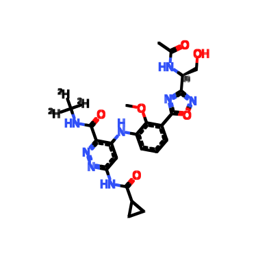 [2H]C([2H])([2H])NC(=O)c1nnc(NC(=O)C2CC2)cc1Nc1cccc(-c2nc([C@H](CO)NC(C)=O)no2)c1OC